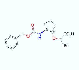 CC(C)(C)C(O[C@H]1CCC[C@@H]1NC(=O)OCc1ccccc1)C(=O)O